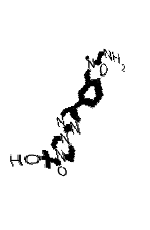 CN(Cc1cccc(-c2cnc(N3CCN(C(=O)C(C)(C)O)CC3)nc2)c1)C(=O)CN